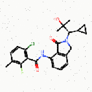 Cc1ccc(Cl)c(C(=O)Nc2cccc3c2C(=O)N([C@H](C2CC2)C(C)(C)O)C3)c1F